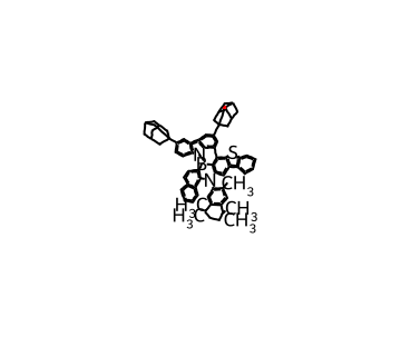 Cc1cc2c(cc1N1c3cc4c(sc5ccccc54)c4c3B(c3ccc5ccccc5c31)n1c3ccc(C56CC7CC(CC(C7)C5)C6)cc3c3cc(C56CC7CC(CC(C7)C5)C6)cc-4c31)C(C)(C)CCC2(C)C